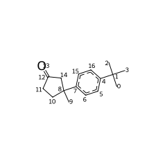 CC(C)(C)c1ccc(C2(C)CCC(=O)C2)cc1